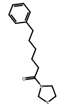 O=C(CCCCCc1ccccc1)N1CCSC1